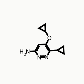 Nc1cc(OC2CC2)c(C2CC2)nn1